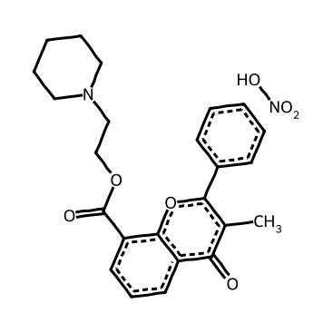 Cc1c(-c2ccccc2)oc2c(C(=O)OCCN3CCCCC3)cccc2c1=O.O=[N+]([O-])O